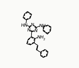 Nc1c(C=Cc2ccccc2)cccc1-c1nc(Nc2ccccc2)nc(Nc2ccccc2)n1